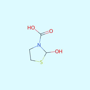 O=C(O)N1CCSC1O